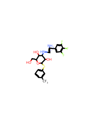 N/C(=C\NC1C(O)C(CO)OC(Sc2cccc(C(F)(F)F)c2)C1O)c1cc(F)c(F)c(F)c1